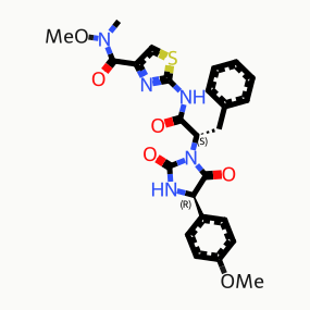 COc1ccc([C@H]2NC(=O)N([C@@H](Cc3ccccc3)C(=O)Nc3nc(C(=O)N(C)OC)cs3)C2=O)cc1